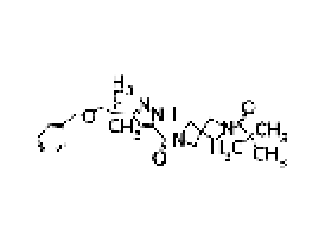 CC(C)(C)C(=O)N1CC2(CN(C(=O)c3cc(C(C)(C)COCc4ccccc4)n[nH]3)C2)C1